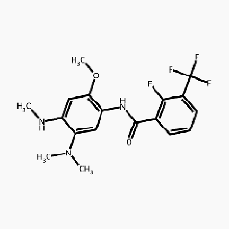 CNc1cc(OC)c(NC(=O)c2cccc(C(F)(F)F)c2F)cc1N(C)C